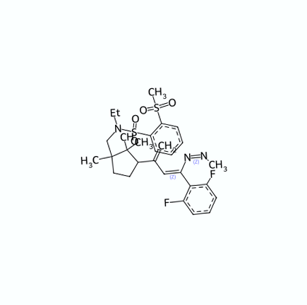 C=C(/C=C(\N=N/C)c1c(F)cccc1F)C1CCC(C)(CN(CC)S(=O)(=O)c2ccccc2S(C)(=O)=O)C1(C)C